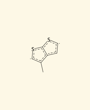 Cc1[c]sc2s[c]cc12